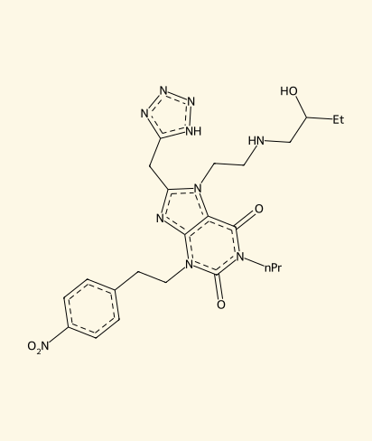 CCCn1c(=O)c2c(nc(Cc3nnn[nH]3)n2CCNCC(O)CC)n(CCc2ccc([N+](=O)[O-])cc2)c1=O